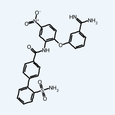 N=C(N)c1cccc(Oc2ccc([N+](=O)[O-])cc2NC(=O)c2ccc(-c3ccccc3S(N)(=O)=O)cc2)c1